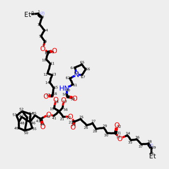 CC/C=C\CCCCOC(=O)CCCCCCC(=O)OCC(COC(=O)CCCCCCC(=O)OCCCC/C=C\CC)(COC(=O)CC12CC3CC(CC(C3)C1)C2)COC(=O)NCCN1CCCC1